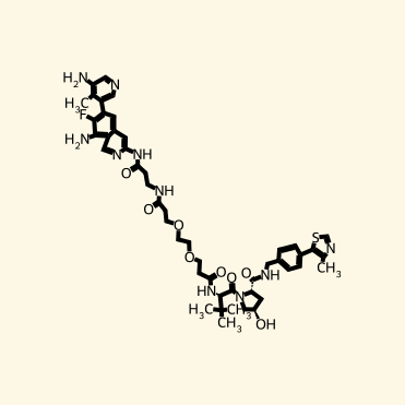 Cc1ncsc1-c1ccc(CNC(=O)[C@@H]2C[C@@H](O)CN2C(=O)[C@@H](NC(=O)CCOCCOCCC(=O)NCCC(=O)Nc2cc3cc(-c4cncc(N)c4C)c(F)c(N)c3cn2)C(C)(C)C)cc1